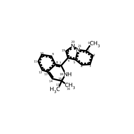 Cc1cccc2c(C3=c4ccccc4=CC(C)(C)N3)cnn12